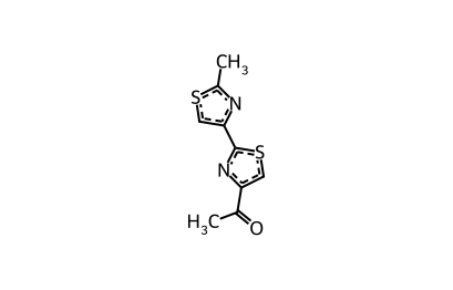 CC(=O)c1csc(-c2csc(C)n2)n1